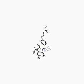 CCOC(=O)CCOc1ccc(/C(O)=C2\C(=O)N(C(C)=O)c3cc(F)ccc32)cc1